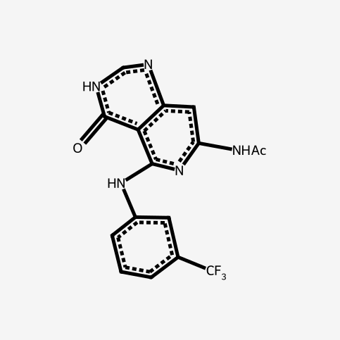 CC(=O)Nc1cc2nc[nH]c(=O)c2c(Nc2cccc(C(F)(F)F)c2)n1